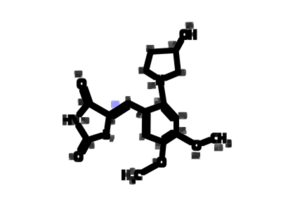 COc1cc(/C=C2\SC(=O)NC2=O)c(N2CCC(O)C2)cc1OC